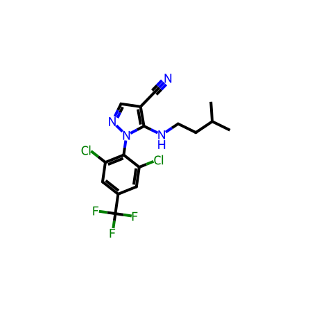 CC(C)CCNc1c(C#N)cnn1-c1c(Cl)cc(C(F)(F)F)cc1Cl